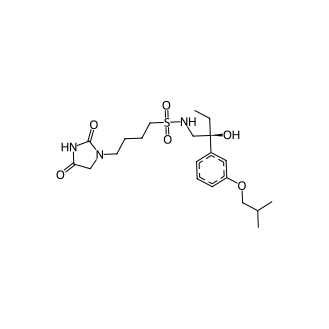 CC[C@@](O)(CNS(=O)(=O)CCCCN1CC(=O)NC1=O)c1cccc(OCC(C)C)c1